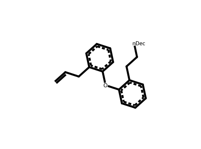 C=CCc1ccccc1Oc1ccccc1CCCCCCCCCCCC